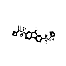 O=C1c2cc(S(=O)(=O)NC34CC(C3)C4)ccc2-c2ccc(S(=O)(=O)NC34CC(C3)C4)cc21